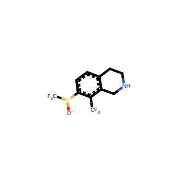 [O-][S+](c1ccc2c(c1C(F)(F)F)CNCC2)C(F)(F)F